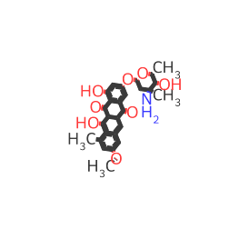 COc1cc(C)c2c(c1)=CC1C(=O)c3cc(OC4CC(C)(N)C(O)C(C)O4)cc(O)c3C(=O)C1C=2O